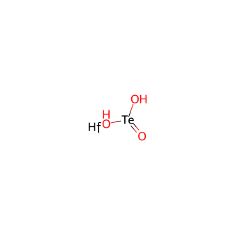 O=[Te](O)O.[Hf]